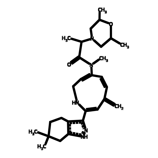 C=C1/C=C\C(N(C)C(=O)C(C)N2CC(C)OC(C)C2)=C/CN/C(c2n[nH]c3c2CCC(C)(C)C3)=C\1